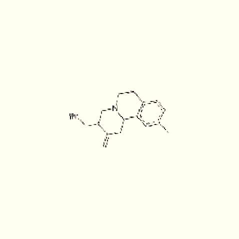 C=C1CC2c3cc(C)ccc3CCN2CC1CC(C)C